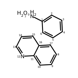 Nc1ccccc1.O.c1ccc2ncccc2c1